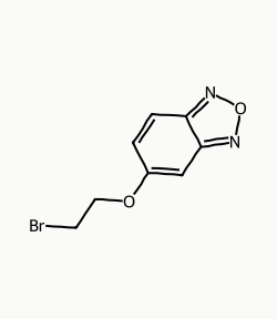 BrCCOc1ccc2nonc2c1